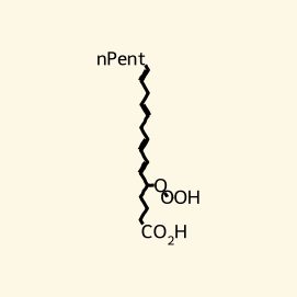 CCCCCC=CCC=CCC=CC=CC(CCCC(=O)O)OOO